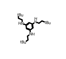 CC(C)(C)CCNc1cc(NCCC(C)(C)C)cc(NCCC(C)(C)C)c1